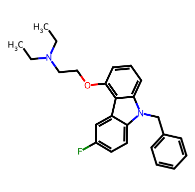 CCN(CC)CCOc1cccc2c1c1cc(F)ccc1n2Cc1ccccc1